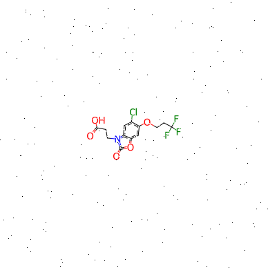 O=C(O)CCn1c(=O)oc2cc(OCCC(F)(F)F)c(Cl)cc21